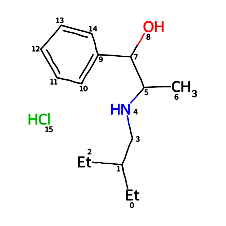 CCC(CC)CNC(C)C(O)c1ccccc1.Cl